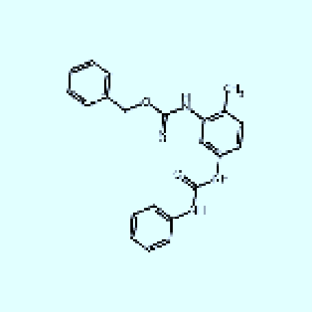 Cc1ccc(NC(=O)Nc2ccccc2)cc1NC(=O)OCc1ccccc1